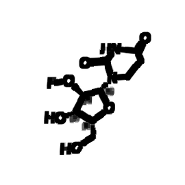 O=C1CCN([C@@H]2O[C@H](CO)[C@H](O)[C@H]2OF)C(=O)N1